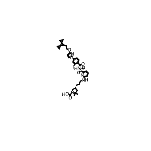 CC1(C)C[C@H](CCCNc2cccc(S(=O)(=O)NC(=O)c3ccc(-n4ccc(OCCC5C6(CC6)C56CC6)n4)cc3F)n2)CN1C(=O)O